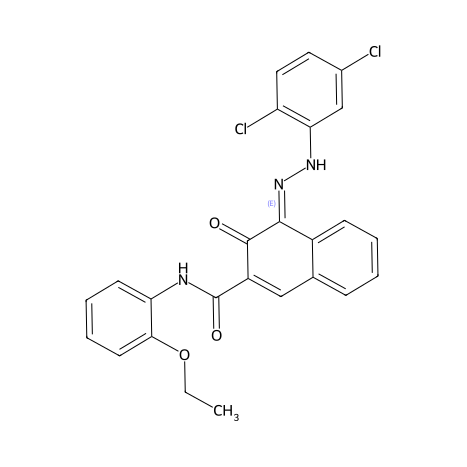 CCOc1ccccc1NC(=O)C1=Cc2ccccc2/C(=N\Nc2cc(Cl)ccc2Cl)C1=O